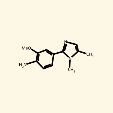 COc1cc(-c2ncc(C)n2C)ccc1N